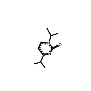 CC(C)c1ccn(C(C)C)c(=O)n1